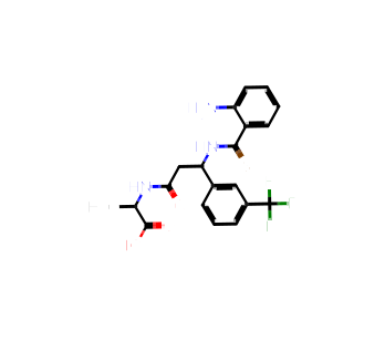 CC(NC(=O)CC(NC(=S)c1ccccc1N)c1cccc(C(F)(F)F)c1)C(=O)O